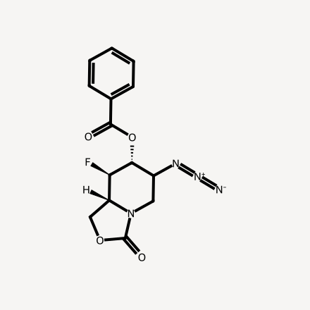 [N-]=[N+]=NC1CN2C(=O)OC[C@@H]2[C@@H](F)[C@@H]1OC(=O)c1ccccc1